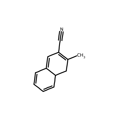 CC1=C(C#N)C=C2C=CC=CC2C1